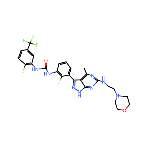 Cc1nc(NCCN2CCOCC2)nc2[nH]nc(-c3cccc(NC(=O)Nc4cc(C(F)(F)F)ccc4F)c3F)c12